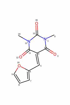 CN1C(=O)C(=Cc2ccco2)C(=O)N(C)C1=O